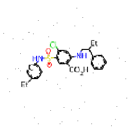 CCc1ccc(NS(=O)(=O)c2cc(C(=O)O)c(NCC(CC)c3ccccc3)cc2Cl)cc1